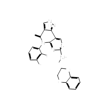 O=c1c2c[nH]nc2c2cnc(NC[C@H]3COc4ccccc4O3)nc2n1-c1cccc(F)c1F